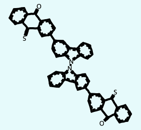 O=C1c2ccccc2C(=S)c2cc(-c3ccc4c(c3)c3ccccc3n4-n3c4ccccc4c4cc(-c5ccc6c(c5)C(=S)c5ccccc5C6=O)ccc43)ccc21